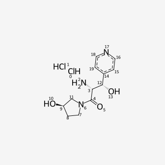 Cl.Cl.N[C@@H](C(=O)N1CC[C@@H](O)C1)[C@@H](O)c1ccncc1